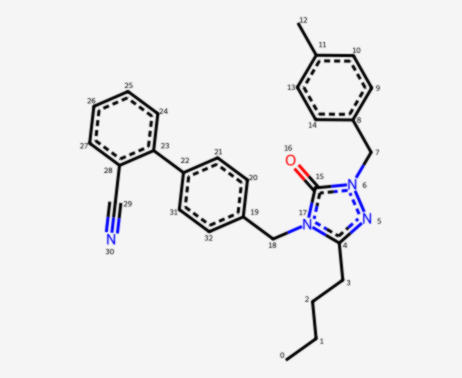 CCCCc1nn(Cc2ccc(C)cc2)c(=O)n1Cc1ccc(-c2ccccc2C#N)cc1